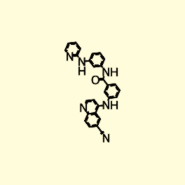 N#Cc1ccc2nccc(Nc3cccc(C(=O)Nc4cccc(Nc5ccccn5)c4)c3)c2c1